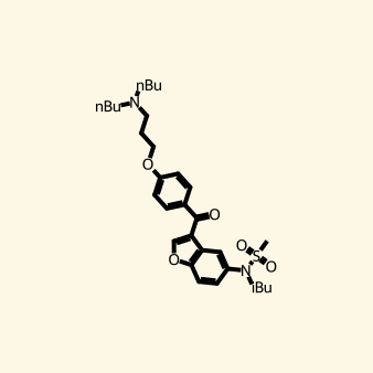 CCCCN(CCCC)CCCOc1ccc(C(=O)c2coc3ccc(N(C(C)CC)S(C)(=O)=O)cc23)cc1